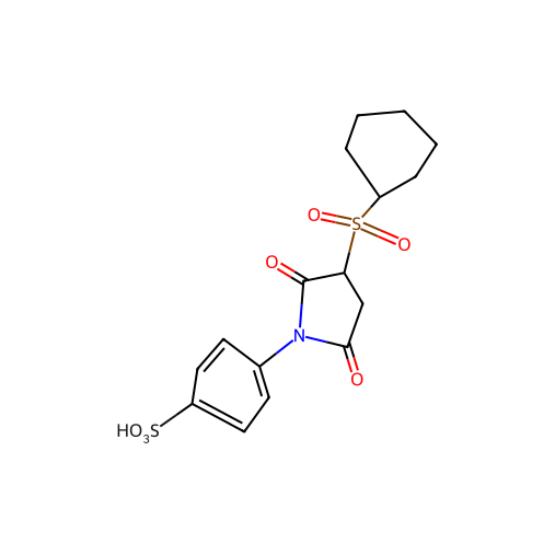 O=C1CC(S(=O)(=O)C2CCCCC2)C(=O)N1c1ccc(S(=O)(=O)O)cc1